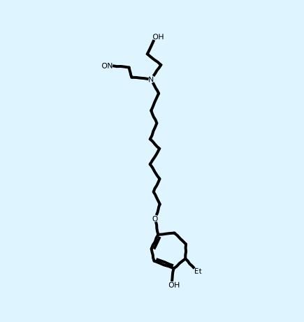 CCC1CCC(OCCCCCCCCCN(CCO)CCN=O)=CC=C1O